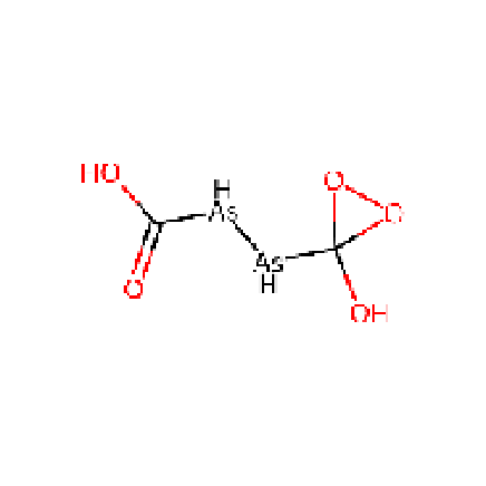 O=C(O)[AsH][AsH]C1(O)OO1